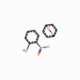 Cc1ccccc1[N+](=O)[O-].c1cc2ccc1CO2